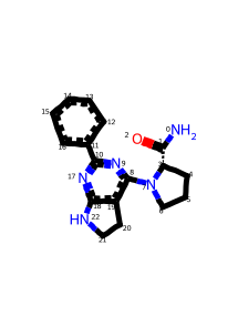 NC(=O)[C@@H]1CCCN1c1nc(-c2ccccc2)nc2c1CCN2